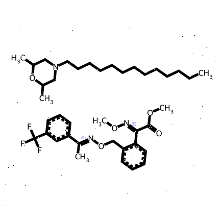 CCCCCCCCCCCCCN1CC(C)OC(C)C1.CO/N=C(/C(=O)OC)c1ccccc1CO/N=C(\C)c1cccc(C(F)(F)F)c1